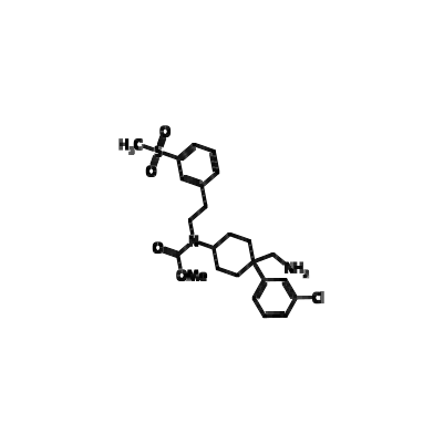 COC(=O)N(CCc1cccc(S(C)(=O)=O)c1)C1CCC(CN)(c2cccc(Cl)c2)CC1